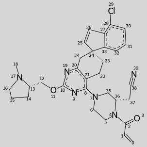 C=CC(=O)N1CCN(c2nc(OC[C@@H]3CCCN3C)nc3c2CC[C@@]2(C=Cc4c(Cl)cccc42)C3)C[C@@H]1CC#N